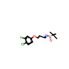 CC(C)(C)[S@+]([O-])/N=C/CCOc1ccc(Cl)c(F)c1